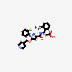 Cc1ccccc1[C@H](CC(=O)O)NC(=O)c1cc(OCc2ccncc2)n(-c2ccccc2F)n1